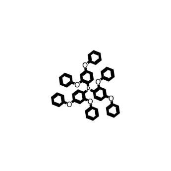 c1ccc(Oc2ccc(P(c3ccc(Oc4ccccc4)cc3Oc3ccccc3)c3ccc(Oc4ccccc4)cc3Oc3ccccc3)c(Oc3ccccc3)c2)cc1